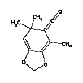 CC1=C2OCOC2=CC(C)(C)C1=C=O